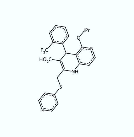 CC(C)Oc1nccc2c1C(c1ccccc1C(F)(F)F)C(C(=O)O)=C(CSc1ccncc1)N2